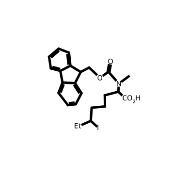 CCC(I)CCCC(C(=O)O)N(C)C(=O)OCC1c2ccccc2-c2ccccc21